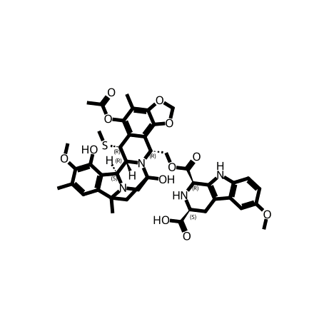 COc1ccc2[nH]c3c(c2c1)C[C@@H](C(=O)O)N[C@H]3C(=O)OC[C@H]1c2c3c(c(C)c(OC(C)=O)c2[C@@H](SC)[C@H]2[C@@H]4c5c(cc(C)c(OC)c5O)C5(C)CC(O)(CN45)N21)OCO3